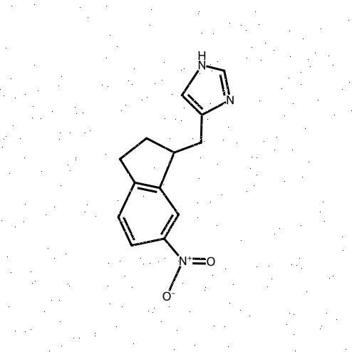 O=[N+]([O-])c1ccc2c(c1)C(Cc1c[nH]cn1)CC2